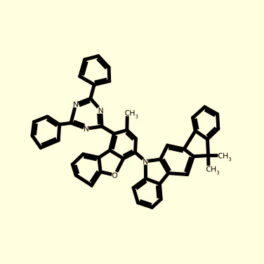 Cc1cc(-n2c3ccccc3c3cc4c(cc32)-c2ccccc2C4(C)C)c2oc3ccccc3c2c1-c1nc(-c2ccccc2)nc(-c2ccccc2)n1